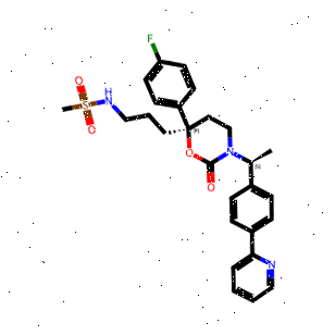 C[C@@H](c1ccc(-c2ccccn2)cc1)N1CC[C@](CCCNS(C)(=O)=O)(c2ccc(F)cc2)OC1=O